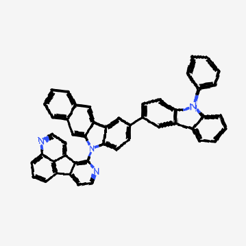 c1ccc(-n2c3ccccc3c3cc(-c4ccc5c(c4)c4cc6ccccc6cc4n5-c4nccc5c4-c4ccnc6cccc-5c46)ccc32)cc1